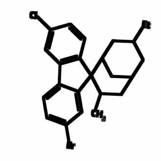 CCC1CC2CC(C)C3(c4ccc(Cl)cc4-c4ccc(Br)cc43)C(C1)C2